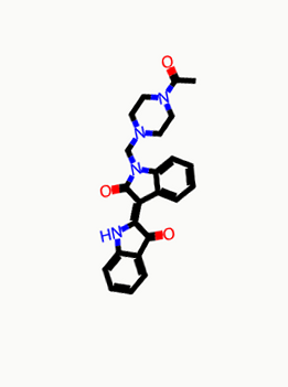 CC(=O)N1CCN(CN2C(=O)/C(=C3\Nc4ccccc4C3=O)c3ccccc32)CC1